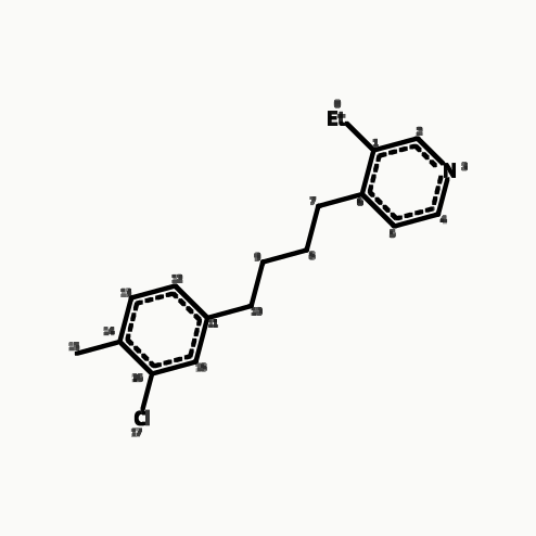 CCc1cnccc1CCCCc1ccc(C)c(Cl)c1